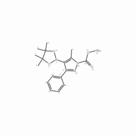 Cc1c(B2OC(C)(C)C(C)(C)O2)c(-c2ccccc2)nn1C(=O)OC(C)(C)C